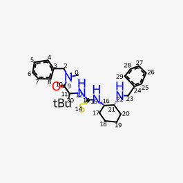 CN(Cc1ccccc1)C(=O)C(NC(=S)N[C@@H]1CCCC[C@H]1NCc1ccccc1)C(C)(C)C